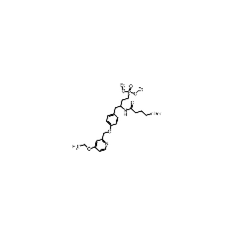 CCCCCCCCCCCCCC(=O)NC(CCP(=O)(OCC)OCC)Cc1ccc(OCc2cc(OCC(F)(F)F)ccn2)cc1